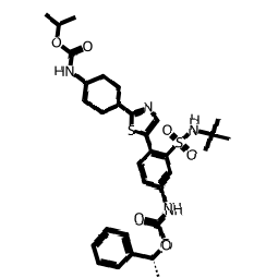 CC(C)OC(=O)NC1CCC(c2ncc(-c3ccc(NC(=O)O[C@H](C)c4ccccc4)cc3S(=O)(=O)NC(C)(C)C)s2)CC1